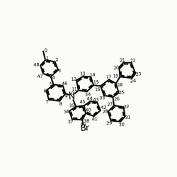 Cc1ccc(-c2cccc(N(c3cccc(-c4cc(-c5ccccc5)cc(-c5ccccc5)c4)c3)c3ccc(Br)c4ccccc34)c2)cc1